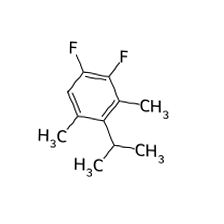 Cc1cc(F)c(F)c(C)c1C(C)C